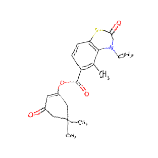 Cc1c(C(=O)OC2=CC(=O)CC(C)(C)C2)ccc2sc(=O)n(C)c12